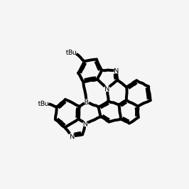 CC(C)(C)c1cc2c3c(c1)ncn3-c1cc3ccc4cccc5c4c3c3c1B2c1cc(C(C)(C)C)cc2nc5n3c12